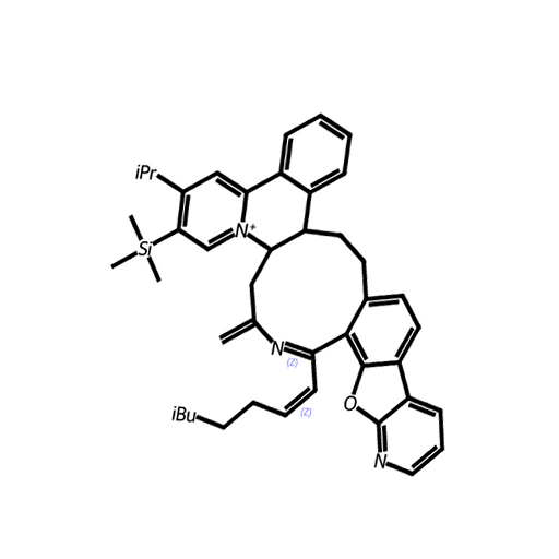 C=C1CC2C(CCc3ccc4c(oc5ncccc54)c3C(/C=C\CCC(C)CC)=N\1)c1ccccc1-c1cc(C(C)C)c([Si](C)(C)C)c[n+]12